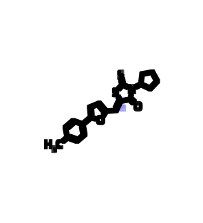 Cc1ccc(-c2ccc(/C=C3\SC(=S)N(C4CCCC4)C3=O)o2)cc1